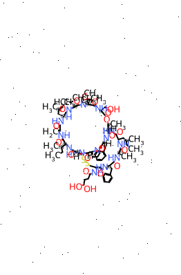 C=C1NC(=O)[C@H]([C@@H](C)CC)NC(=O)[C@@H]2CSSCC(NC(=O)CCC(O)O)C(=O)N[C@H](Cc3ccccc3)C(=O)N[C@H](C)C(=O)NC(C[C@@H](C)CC)C(=O)N[C@@H](C(=O)N[C@H](Cc3ccccc3)C(=O)N3CCC[C@H]3C(=O)N2)[C@@H](C)OC(=O)[C@H](CO)NC(=O)[C@H]([C@@H](C)OC)N(C)C(=O)[C@@H](C(C)C)NC(=O)[C@H](C[C@H](C)CC)NC1=O